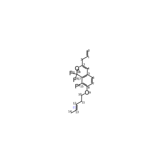 C=CCC1=Cc2ccc(OCC/C=C/C)c(F)c2C(F)(F)O1